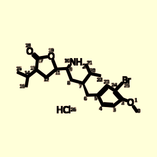 COc1ccc(C[C@@H](C[C@H](N)C2CC(C(C)C)C(=O)O2)C(C)C)cc1Br.Cl